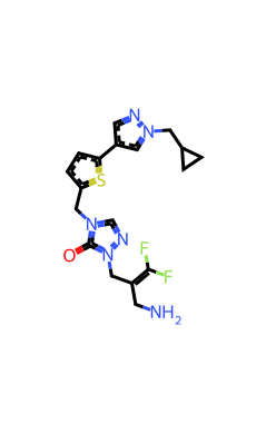 NCC(Cn1ncn(Cc2ccc(-c3cnn(CC4CC4)c3)s2)c1=O)=C(F)F